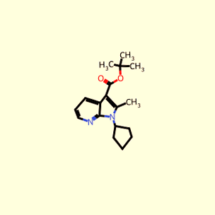 Cc1c(C(=O)OC(C)(C)C)c2cccnc2n1C1CCCC1